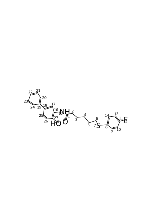 O=C(CCCCCSc1ccc(F)cc1)Nc1cc(-c2ccccc2)ccc1O